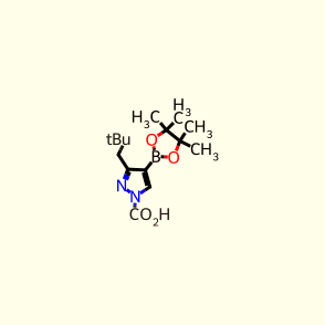 CC(C)(C)Cc1nn(C(=O)O)cc1B1OC(C)(C)C(C)(C)O1